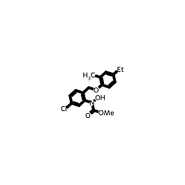 CCc1ccc(OCc2ccc(Cl)cc2N(O)C(=O)OC)c(C)c1